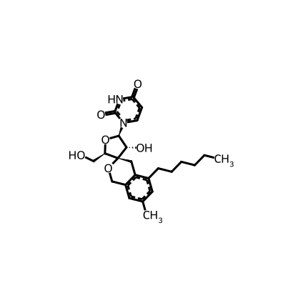 CCCCCCc1cc(C)cc2c1C[C@@]1(OC2)[C@@H](CO)O[C@@H](n2ccc(=O)[nH]c2=O)[C@@H]1O